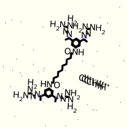 C/C(=N\N=C(N)N)c1cc(NC(=O)CCCCCCCCC(=O)Nc2cc(/C(C)=N/N=C(N)N)cc(/C(C)=N/N=C(N)N)c2)cc(/C(C)=N/N=C(N)N)c1.[Cl-].[Cl-].[Cl-].[Cl-].[H+].[H+].[H+].[H+]